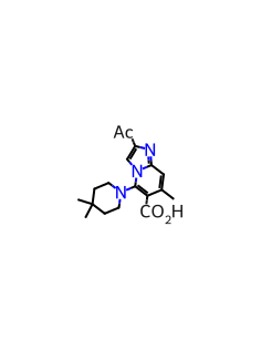 CC(=O)c1cn2c(N3CCC(C)(C)CC3)c(C(=O)O)c(C)cc2n1